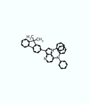 CC1(C)c2ccccc2-c2ccc(-c3cn(-c4ccccc4)c4c(N(c5ccccc5)c5ccccc5)ccnc34)cc21